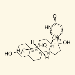 C[C@]12CCC(O)CC1CC[C@@H]1[C@H]2CC[C@]2(C)C(O)(c3ccc(=O)[nH]c3)CC[C@@]12O